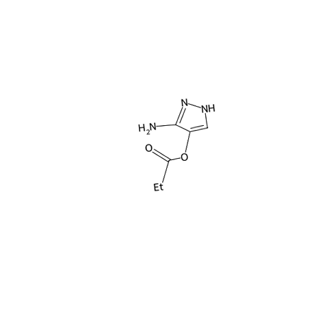 CCC(=O)Oc1c[nH]nc1N